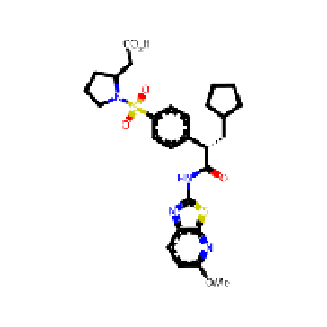 COc1ccc2nc(NC(=O)[C@@H](CC3CCCC3)c3ccc(S(=O)(=O)N4CCCC4CC(=O)O)cc3)sc2n1